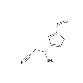 N#CCC(N)c1csc(C=O)c1